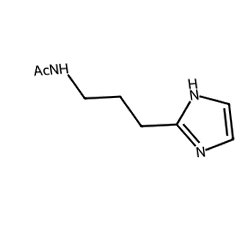 CC(=O)NCCCc1ncc[nH]1